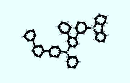 c1ccc(-c2cccc(-c3ccc(N(c4ccccc4)c4ccc(-c5cccc(-n6c7ccccc7c7ccccc76)c5)c(-c5ccccc5)c4)cc3)c2)cc1